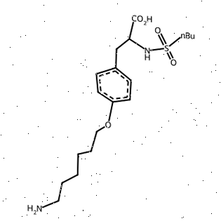 CCCCS(=O)(=O)NC(Cc1ccc(OCCCCCCN)cc1)C(=O)O